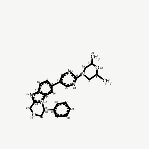 CC1CN(c2ncc(-c3ccc4nc5n(c4c3)[C@@H](c3ccccc3)COC5)cn2)CC(C)O1